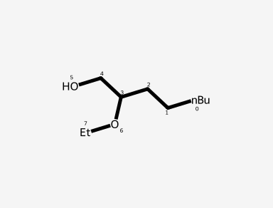 CCCCCCC(CO)OCC